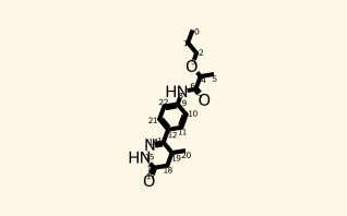 CCCOC(C)C(=O)Nc1ccc(C2=NNC(=O)CC2C)cc1